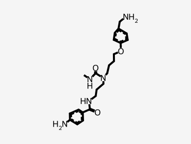 CNC(=O)N(CCCCOc1ccc(CN)cc1)CCCNC(=O)c1ccc(N)cc1